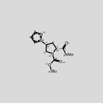 CNC(=O)[C@H]1C[C@H](n2cccn2)CN1C(=O)OC(C)(C)C